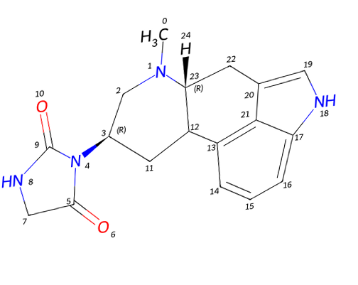 CN1C[C@H](N2C(=O)CNC2=O)CC2c3cccc4[nH]cc(c34)C[C@H]21